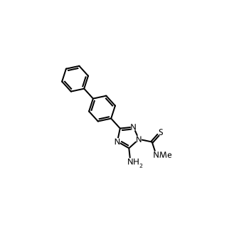 CNC(=S)n1nc(-c2ccc(-c3ccccc3)cc2)nc1N